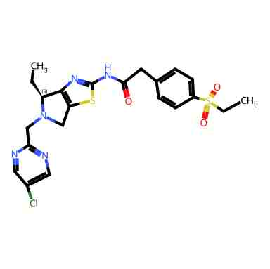 CC[C@H]1c2nc(NC(=O)Cc3ccc(S(=O)(=O)CC)cc3)sc2CN1Cc1ncc(Cl)cn1